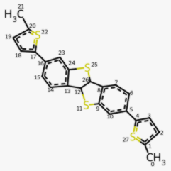 Cc1ccc(-c2ccc3c(c2)SC2c4ccc(-c5ccc(C)s5)cc4SC32)s1